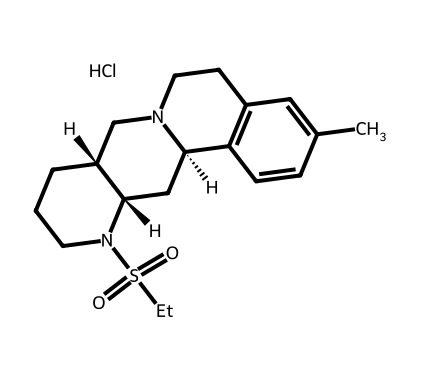 CCS(=O)(=O)N1CCC[C@@H]2CN3CCc4cc(C)ccc4[C@H]3C[C@@H]21.Cl